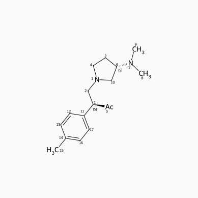 CC(=O)[C@H](CN1CC[C@H](N(C)C)C1)c1ccc(C)cc1